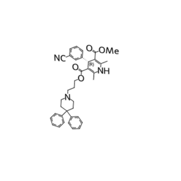 COC(=O)C1=C(C)NC(C)=C(C(=O)OCCCN2CCC(c3ccccc3)(c3ccccc3)CC2)[C@@H]1c1cccc(C#N)c1